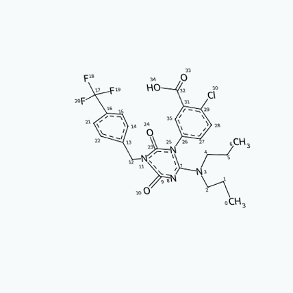 CCCN(CCC)c1nc(=O)n(Cc2ccc(C(F)(F)F)cc2)c(=O)n1-c1ccc(Cl)c(C(=O)O)c1